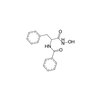 O=C(NC(Cc1ccccc1)C(=O)NO)c1ccccc1